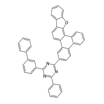 c1ccc(-c2cccc(-c3nc(-c4ccccc4)nc(-c4ccc5c6ccccc6c6c(ccc7c8ccccc8oc76)c5c4)n3)c2)cc1